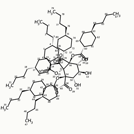 CCCC[C@H]1CC[C@H](C(=O)O[C@@]2(C(=O)[C@H]3CC[C@H](CCCC)CC3)[C@@](OC(=O)[C@H]3CC[C@H](CCCC)CC3)(C(=O)[C@H]3CC[C@H](CCCC)CC3)[C@@H](O)[C@H](O)[C@@H](O)[C@@]2(OC(=O)[C@H]2CC[C@H](CCCC)CC2)C(=O)[C@H]2CC[C@H](CCCC)CC2)CC1